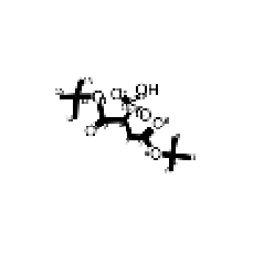 CC(C)(C)OC(=O)CC(C(=O)OC(C)(C)C)S(=O)(=O)O